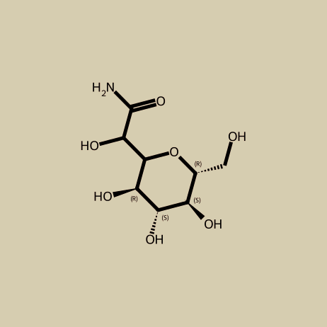 NC(=O)C(O)C1O[C@H](CO)[C@@H](O)[C@H](O)[C@H]1O